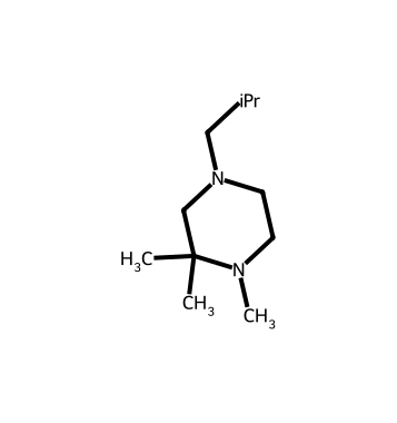 CC(C)CN1CCN(C)C(C)(C)C1